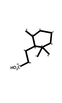 CC1CCCC(C)(C)C1CCC(=O)O